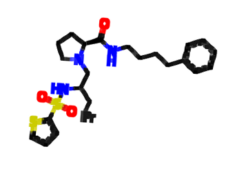 CC(C)CC(CN1CCC[C@H]1C(=O)NCCCCc1ccccc1)NS(=O)(=O)c1cccs1